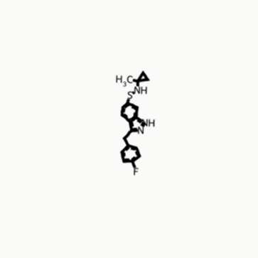 CC1(NSc2ccc3c(Cc4ccc(F)cc4)n[nH]c3c2)CC1